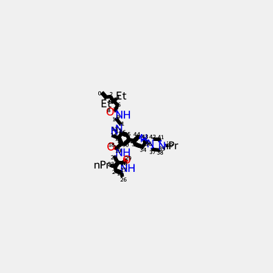 C=CCC(CC)(CC)CC(=O)NCCn1ncc2c(C(=O)NCc3c(CCC)cc(C)[nH]c3=O)cc(-c3ccc(N4CCN(C(C)C)CC4)nc3)cc21